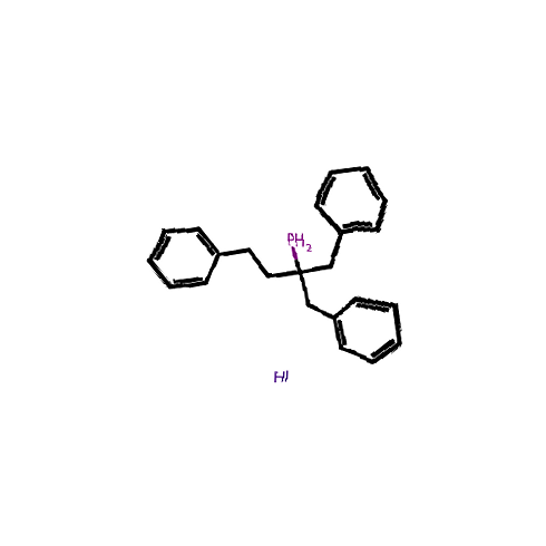 I.PC(CCc1ccccc1)(Cc1ccccc1)Cc1ccccc1